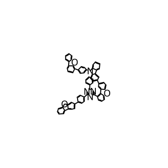 c1ccc(-c2nc(-c3ccc(-c4ccc5c(c4)oc4ccccc45)cc3)nc(-c3cccc4oc5ccc(-c6ccc7c(c6)c6ccccc6n7-c6ccc(-c7cccc8c7oc7ccccc78)cc6)cc5c34)n2)cc1